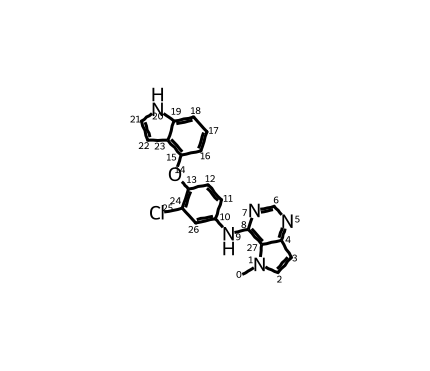 Cn1ccc2ncnc(Nc3ccc(Oc4cccc5[nH]ccc45)c(Cl)c3)c21